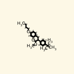 CCCCOc1ccc(CC(C(=O)OC)c2ccc(C(C)(C)C)cc2)cc1